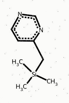 C[Si](C)(C)Cc1ccncn1